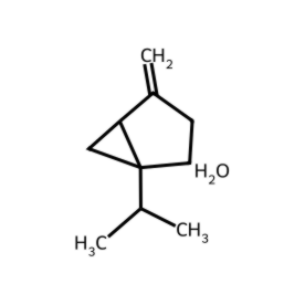 C=C1CCC2(C(C)C)CC12.O